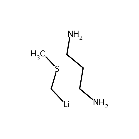 NCCCN.[Li][CH2]SC